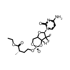 CCOC(=O)[C@@H](C)CCO[P@@]1(=O)OCC2O[C@@H](n3ccc(N)nc3=O)C(F)(F)[C@@H]2O1